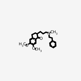 COc1cc2c(cc1OC)C(=O)C(CCCN(C)CCc1ccccc1)CC2